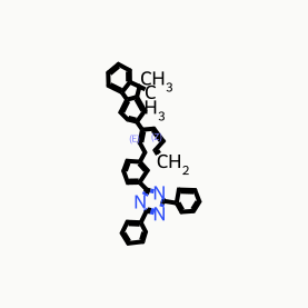 C=C/C=C\C(=C/Cc1cccc(-c2nc(-c3ccccc3)nc(-c3ccccc3)n2)c1)c1ccc2c(c1)C(C)(C)c1ccccc1-2